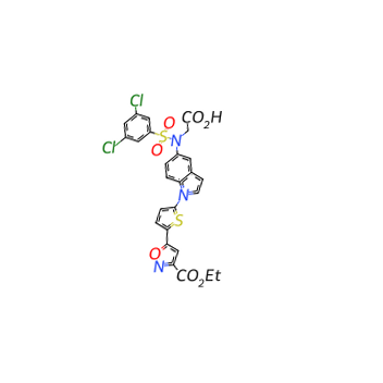 CCOC(=O)c1cc(-c2ccc(-n3ccc4cc(N(CC(=O)O)S(=O)(=O)c5cc(Cl)cc(Cl)c5)ccc43)s2)on1